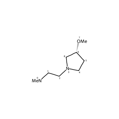 CNCCN1CC[C@@H](OC)C1